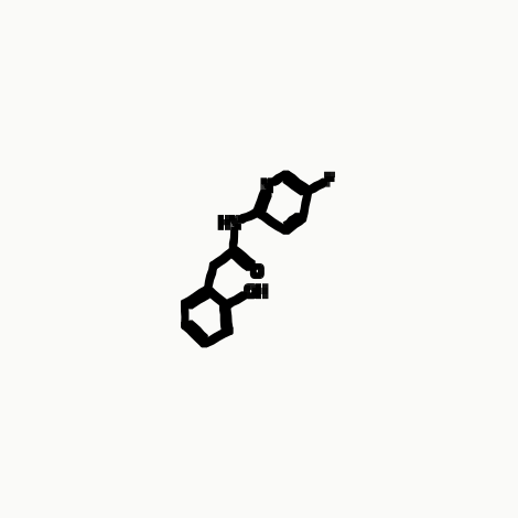 O=C(Cc1ccccc1O)Nc1ccc(F)cn1